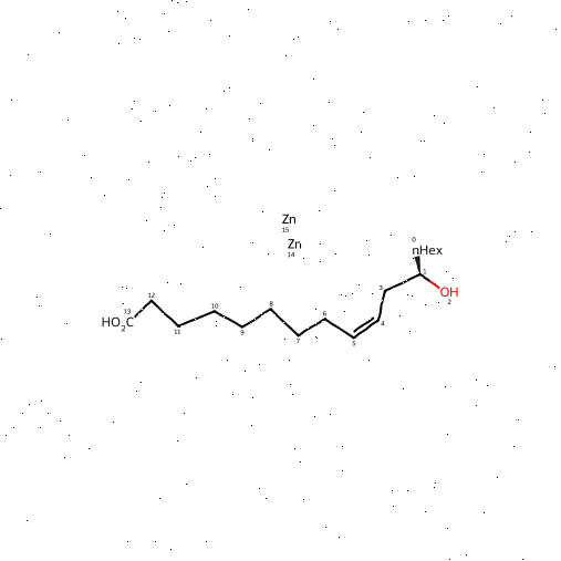 CCCCCC[C@@H](O)C/C=C\CCCCCCCC(=O)O.[Zn].[Zn]